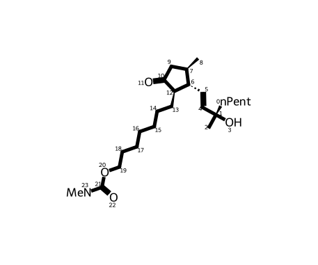 CCCCC[C@](C)(O)/C=C/[C@H]1[C@H](C)CC(=O)[C@@H]1CCCCCCCOC(=O)NC